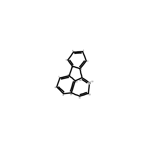 c1ccc2c(c1)-c1cccc3ccnc-2c13